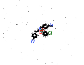 N#Cc1ccc(CCCN(Cc2ccc(C#N)cc2)S(=O)(=O)c2cccc(Cl)c2)cc1